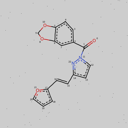 O=C(c1ccc2c(c1)OCO2)n1ccc(C=Cc2ccco2)n1